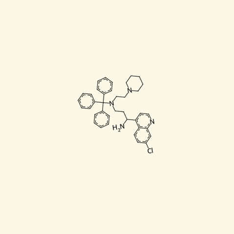 NC(CCN(CCN1CCCCC1)C(c1ccccc1)(c1ccccc1)c1ccccc1)c1ccnc2cc(Cl)ccc12